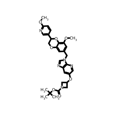 COc1ccc(C2COc3cc(Cn4cnc5cc(OC6CN(C(=O)OC(C)(C)C)C6)cnc54)cc(OC)c3O2)cn1